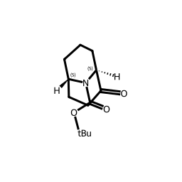 CC(C)(C)OC(=O)N1[C@H]2CCC[C@H]1C(=O)CC2